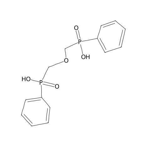 O=P(O)(COCP(=O)(O)c1ccccc1)c1ccccc1